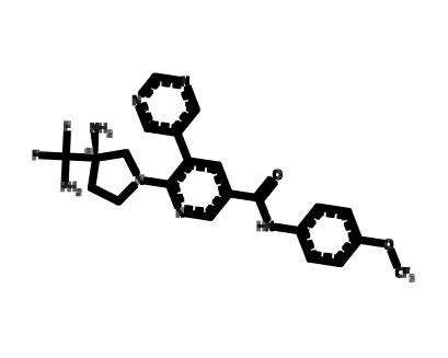 N[C@]1(C(F)(F)P)CCN(c2ncc(C(=O)Nc3ccc(OC(F)(F)F)cc3)cc2-c2cncnc2)C1